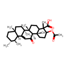 CC(=O)OC1CC[C@@]2(C)C(CC[C@]3(C)[C@@H]2C(=O)C=C2[C@@H]4[C@@H](C)[C@H](C)CC[C@]4(C)CC[C@]23C)C1(C)C(=O)O